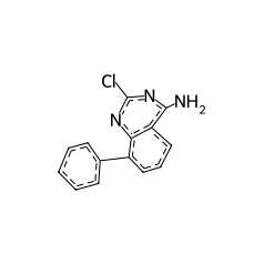 Nc1nc(Cl)nc2c(-c3ccccc3)cccc12